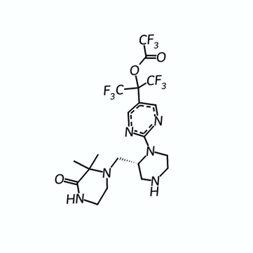 CC1(C)C(=O)NCCN1C[C@H]1CNCCN1c1ncc(C(OC(=O)C(F)(F)F)(C(F)(F)F)C(F)(F)F)cn1